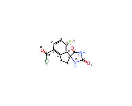 O=C1NC(=O)C2(CCc3c(C(=O)Cl)ccc(F)c32)N1